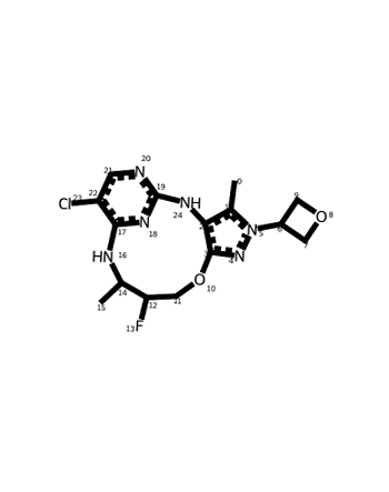 Cc1c2c(nn1C1COC1)OCC(F)C(C)Nc1nc(ncc1Cl)N2